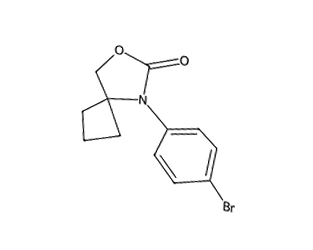 O=C1OCC2(CCC2)N1c1ccc(Br)cc1